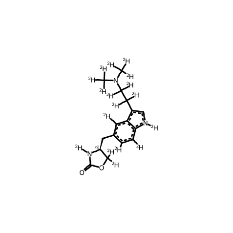 [2H]c1c(C[C@@H]2N([2H])C(=O)OC2([2H])[2H])c([2H])c2c(C([2H])([2H])C([2H])([2H])N(C([2H])([2H])[2H])C([2H])([2H])[2H])cn([2H])c2c1[2H]